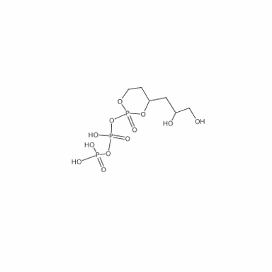 O=P(O)(O)OP(=O)(O)OP1(=O)OCCC(CC(O)CO)O1